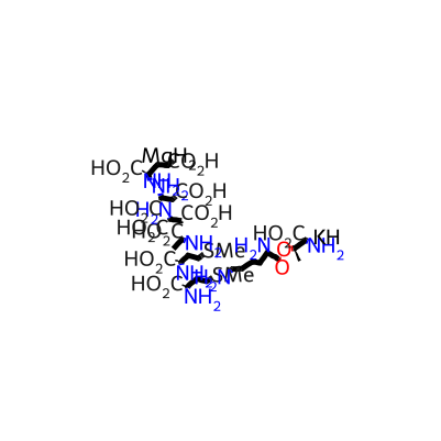 CSCC[C@H](N)C(=O)O.CSCC[C@H](N)C(=O)O.C[C@@H](OC(=O)[C@@H](N)CCCCN)[C@H](N)C(=O)O.C[C@H](N)C(=O)O.N[C@@H](CC(=O)O)C(=O)O.N[C@@H](CC(=O)O)C(=O)O.N[C@@H](CCC(=O)O)C(=O)O.[KH].[MgH2]